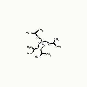 COC(C)O[O][Ti]([O]OC(C)OC)([O]OC(C)OC)[O]OC(C)OC